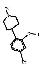 CCOc1cc(CC)ccc1C1CCN(C(C)=O)CC1